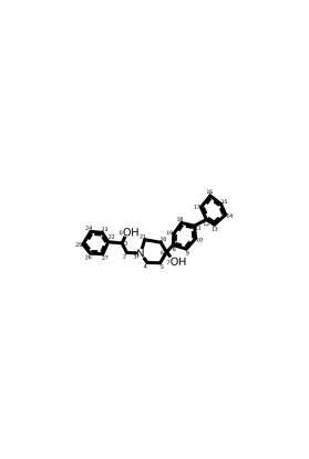 OC(CN1CCC(O)(c2ccc(-c3ccccc3)cc2)CC1)c1ccccc1